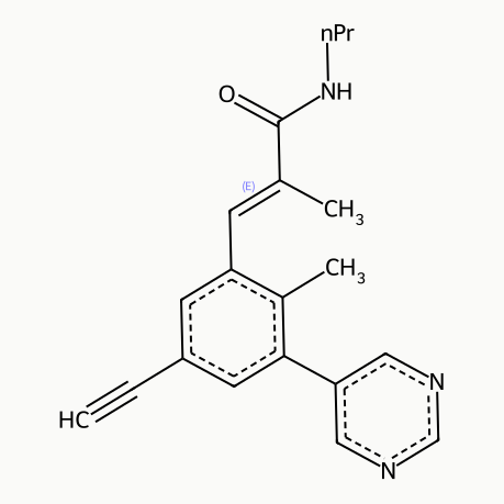 C#Cc1cc(/C=C(\C)C(=O)NCCC)c(C)c(-c2cncnc2)c1